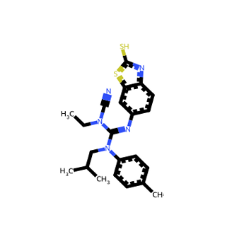 [CH]c1ccc(N(CC(C)C)C(=Nc2ccc3nc(S)sc3c2)N(C#N)CC)cc1